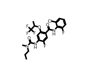 CCCN(C)C(=O)Nc1cc(OC(C)C(F)(F)F)c(C(=O)Nc2c(F)cccc2Cl)cc1F